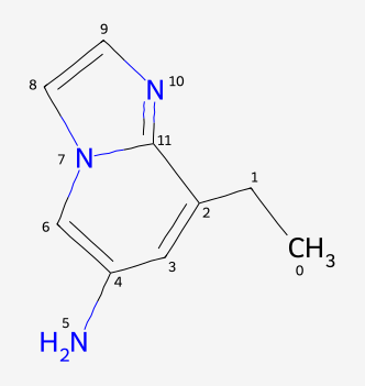 CCc1cc(N)cn2ccnc12